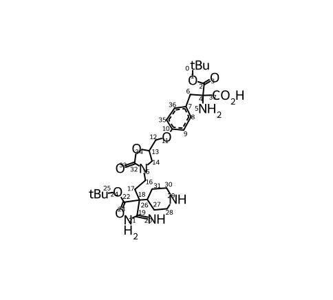 CC(C)(C)OC(=O)C(N)(Cc1ccc(OCC2CN(CCC(C(=N)N)(C(=O)OC(C)(C)C)C3CCNCC3)C(=O)O2)cc1)C(=O)O